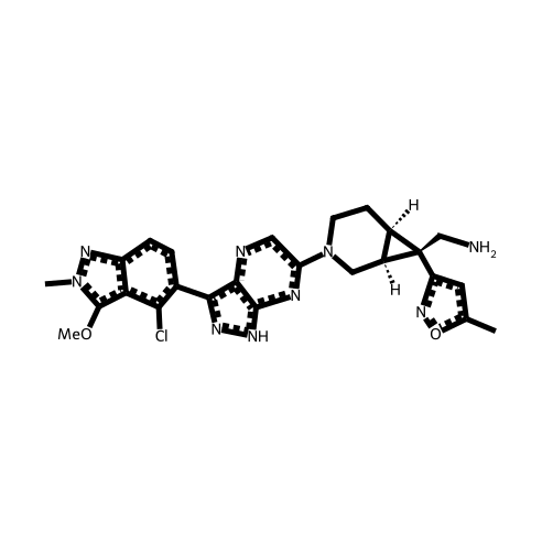 COc1c2c(Cl)c(-c3n[nH]c4nc(N5CC[C@@H]6[C@H](C5)[C@@]6(CN)c5cc(C)on5)cnc34)ccc2nn1C